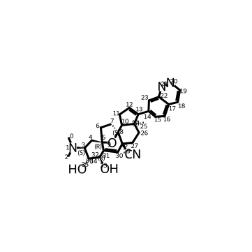 CN(C)[C@H]1C[C@@]23CC[C@]4(O2)C2CC=C(c5ccc6ccnnc6c5)[C@@]2(C)CCC4(C#N)C=C3[C@@H](O)[C@@H]1O